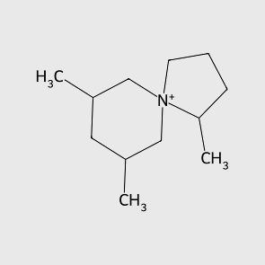 CC1CC(C)C[N+]2(CCCC2C)C1